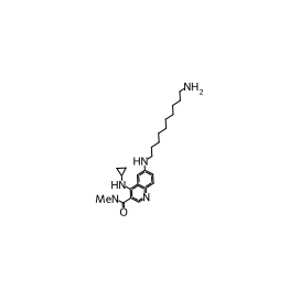 CNC(=O)c1cnc2ccc(NCCCCCCCCCCN)cc2c1NC1CC1